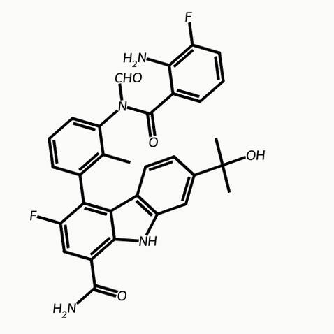 Cc1c(-c2c(F)cc(C(N)=O)c3[nH]c4cc(C(C)(C)O)ccc4c23)cccc1N(C=O)C(=O)c1cccc(F)c1N